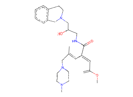 C=C(/C=C(\C=C(/C)CN1CCN(C)CC1)C(=O)NCC(O)CN1CCc2ccccc2C1)OC